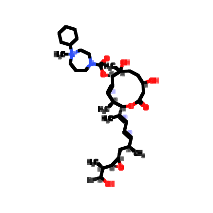 CC[C@H](O)[C@@H](C)[C@H]1O[C@@H]1C[C@H](C)/C=C/C=C(\C)[C@H]1OC(=O)C[C@H](O)CC[C@@](C)(O)[C@@H](OC(=O)N2CCC[N+](C)(C3CCCCC3)CC2)/C=C/[C@@H]1C